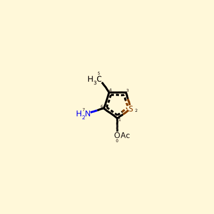 CC(=O)Oc1scc(C)c1N